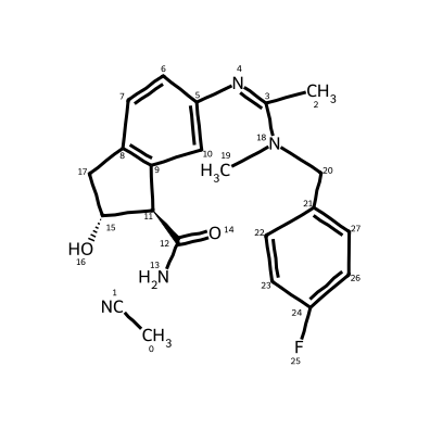 CC#N.CC(=Nc1ccc2c(c1)[C@@H](C(N)=O)[C@H](O)C2)N(C)Cc1ccc(F)cc1